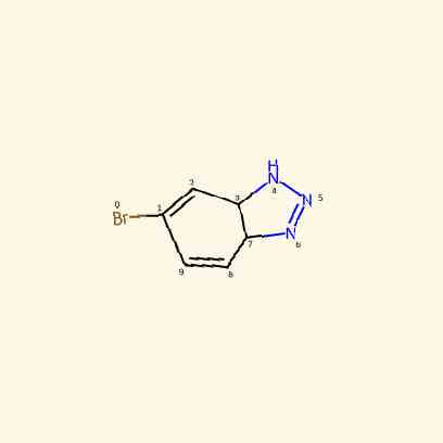 BrC1=CC2NN=NC2C=C1